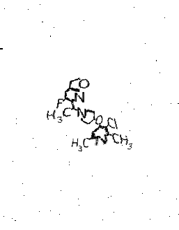 Cc1cc(OC2CCN(C(C)c3nc4c(cc3F)CCO4)CC2)c(Cl)c(C)n1